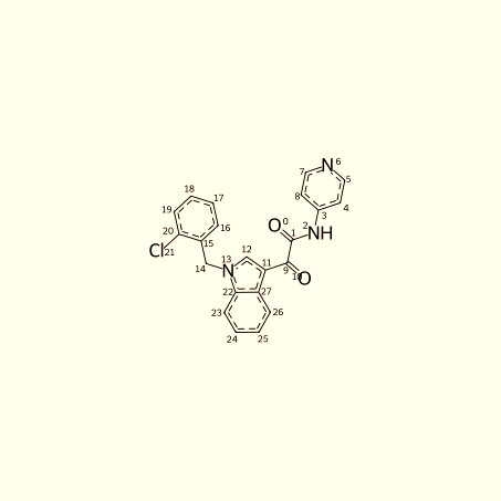 O=C(Nc1ccncc1)C(=O)c1cn(Cc2ccccc2Cl)c2ccccc12